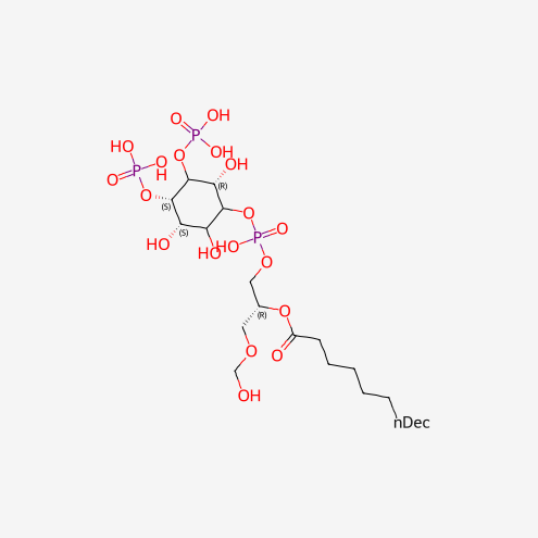 CCCCCCCCCCCCCCCC(=O)O[C@H](COCO)COP(=O)(O)OC1C(O)[C@H](O)[C@H](OP(=O)(O)O)C(OP(=O)(O)O)[C@@H]1O